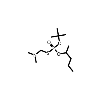 CCCC(C)OP(=O)(OC(C)(C)C)SCN(C)C